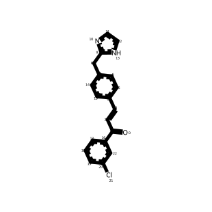 O=C(C=Cc1ccc(Cc2ncc[nH]2)cc1)c1cccc(Cl)c1